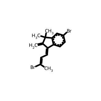 C=C1/C(=C\C=C(/C)Br)c2ccc(Br)cc2C1(C)C